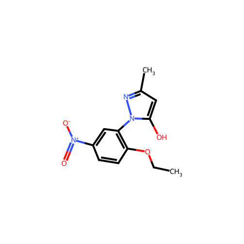 CCOc1ccc([N+](=O)[O-])cc1-n1nc(C)cc1O